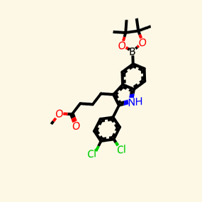 COC(=O)CCCc1c(-c2ccc(Cl)c(Cl)c2)[nH]c2ccc(B3OC(C)(C)C(C)(C)O3)cc12